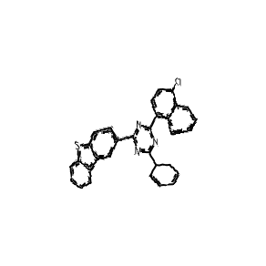 Clc1ccc(-c2nc(-c3ccc4sc5ccccc5c4c3)nc(C3C=CC=CC3)n2)c2ccccc12